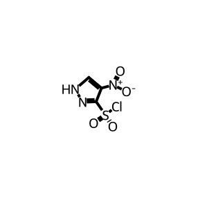 O=[N+]([O-])c1c[nH]nc1S(=O)(=O)Cl